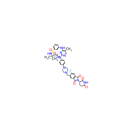 Cc1cnc(Nc2ccc(N3CCN(Cc4cc5c(cc4F)C(=O)N(C4CCC(=O)NC4=O)C5=O)CC3)cc2)nc1Nc1cccc(S(=O)(=O)NC(C)(C)C)c1